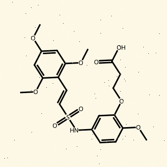 COc1cc(OC)c(C=CS(=O)(=O)Nc2ccc(OC)c(OCCC(=O)O)c2)c(OC)c1